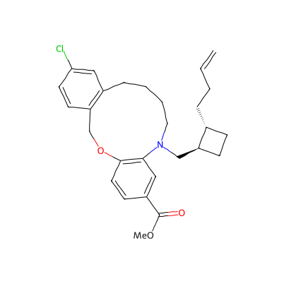 C=CCC[C@@H]1CC[C@H]1CN1CCCCc2cc(Cl)ccc2COc2ccc(C(=O)OC)cc21